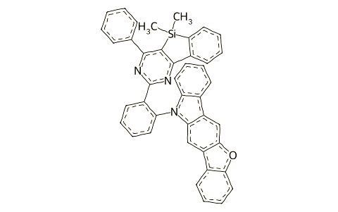 C[Si]1(C)c2ccccc2-c2nc(-c3ccccc3-n3c4ccccc4c4cc5oc6ccccc6c5cc43)nc(-c3ccccc3)c21